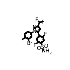 Cc1ccc(-n2nc(C(F)F)cc2-c2cc(F)c(S(N)(=O)=O)cc2F)cc1Br